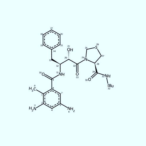 Cc1c(N)cc(N)cc1C(=O)N[C@@H](Cc1ccccc1)[C@H](O)C(=O)N1CSC[C@H]1C(=O)NC(C)(C)C